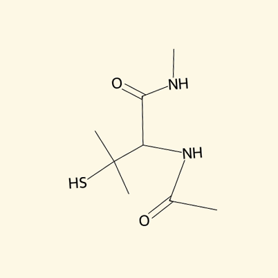 CNC(=O)C(NC(C)=O)C(C)(C)S